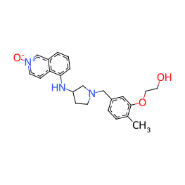 Cc1ccc(CN2CCC(Nc3cccc4c[n+]([O-])ccc34)C2)cc1OCCO